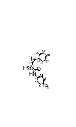 O=C(Nc1ccc(Br)cn1)N(S)C1CC1c1ccccc1